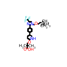 CC(C)(COC1=CC=C(c2ccc(-c3nc(C(F)(F)F)cn3COCC[Si](C)(C)C)cc2)CN1)C(=O)O